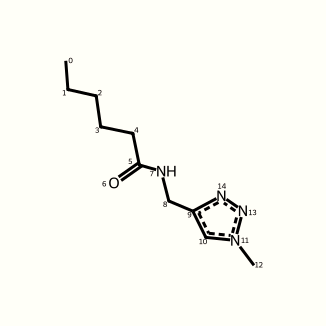 CCCCCC(=O)NCc1cn(C)nn1